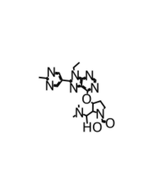 CCn1c(-c2cnc(C)nc2)nc2c(OC3CCN(C(=O)O)C3C(C)N(C)C)ncnc21